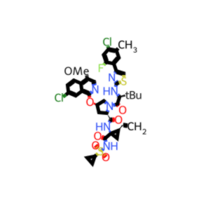 C=C[C@@H]1C[C@]1(NC(=O)[C@@H]1C[C@@H](Oc2ncc(OC)c3ccc(Cl)cc23)CN1C(=O)[C@@H](Nc1nc(-c2cc(C)c(Cl)cc2F)cs1)C(C)(C)C)C(=O)NS(=O)(=O)C1CC1